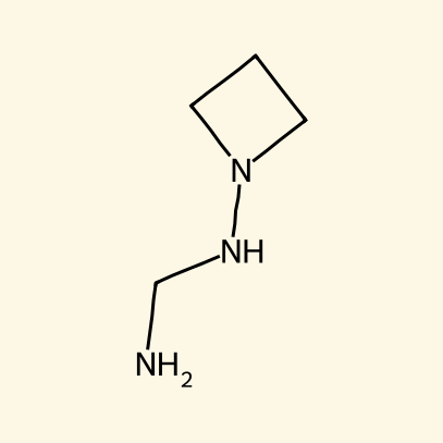 NCNN1CCC1